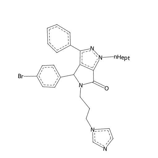 CCCCCCCn1nc(-c2ccccc2)c2c1C(=O)N(CCCn1ccnc1)C2c1ccc(Br)cc1